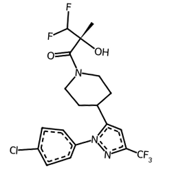 C[C@@](O)(C(=O)N1CCC(c2cc(C(F)(F)F)nn2-c2ccc(Cl)cc2)CC1)C(F)F